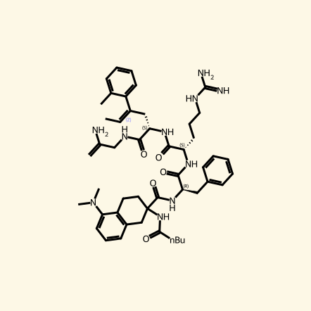 C=C(N)CNC(=O)[C@H](C/C(=C/C)c1ccccc1C)NC(=O)[C@H](CCCNC(=N)N)NC(=O)[C@@H](Cc1ccccc1)NC(=O)C1(NC(=O)CCCC)CCc2c(cccc2N(C)C)C1